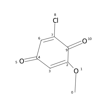 COC1=CC(=O)C=C(Cl)C1=O